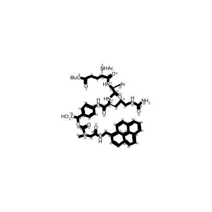 CC(=O)N[C@@H](CCC(=O)OCC(C)C)C(=O)N[C@H](C(=O)N[C@@H](CCCNC(N)=O)C(=O)Nc1ccc(C(OC(=O)N(C)CC(=O)NCc2ccc3ccc4cccc5ccc2c3c45)C(=O)O)cc1)C(C)C